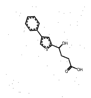 O=C(O)CCC(O)c1cc(-c2ccccc2)cs1